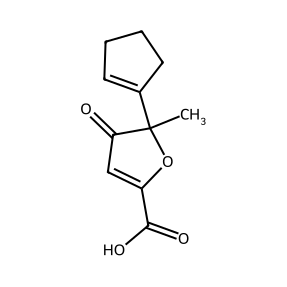 CC1(C2=CCCC2)OC(C(=O)O)=CC1=O